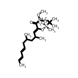 CC=CC=CCC(C)CC(C)C=C(O[Si](C)(C)C(C)(C)C)C(=O)N(C)OC